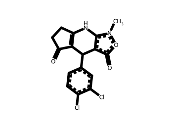 Cn1oc(=O)c2c1NC1=C(C(=O)CC1)C2c1ccc(Cl)c(Cl)c1